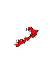 CC(C)(C)OC(=O)N[C@@H]1CCCN([C@H]2Cc3c(Cl)cc(Cl)cc3[C@@H]2Oc2ccc([S+]([O-])N3CC[C@@H](OCCOCCNC(=O)NCCCCNC(=O)NCCOCCO[C@@H]4CCN(S(=O)(=O)c5ccc(O[C@H]6c7cc(Cl)cc(Cl)c7C[C@@H]6N6CCC[C@@H](NC(=O)OC(C)(C)C)C6)cc5)C4)C3)cc2)C1